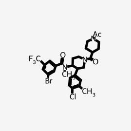 CC(=O)N1CCC(C(=O)N2CCC(N(C)C(=O)c3cc(Br)cc(C(F)(F)F)c3)C(c3ccc(Cl)c(C)c3)C2)CC1